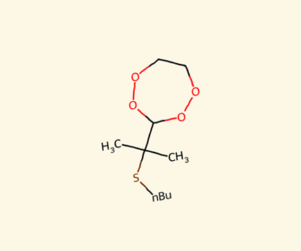 CCCCSC(C)(C)C1OOCCOO1